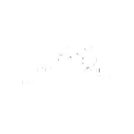 CC(=O)O[C@@H]1CC[C@@]2(C)[C@@H](C1)C[C@@H](OC(C)=O)[C@@H]1[C@@H]2CC[C@]2(C)[C@@H]([C@H](C)CCC(=O)NCCS(=O)(=O)O)CC[C@@H]12